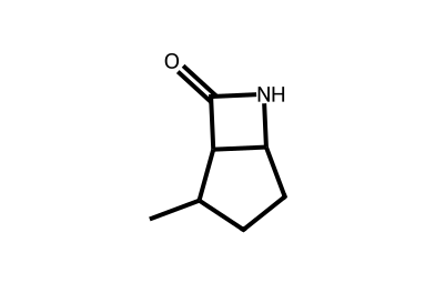 CC1CCC2NC(=O)C12